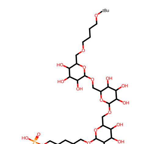 CC(C)(C)OCCCCOCC1OC(OCC2OC(OCC3OC(OCCCCCOP(=O)(O)C(C)(C)C)C(O)C(O)C3O)C(O)C(O)C2O)C(O)C(O)C1O